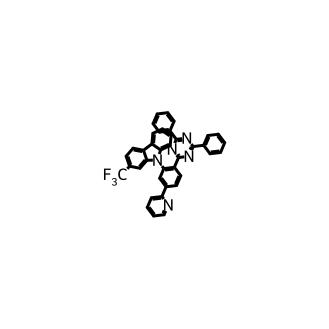 FC(F)(F)c1ccc2c3ccccc3n(-c3cc(-c4ccccn4)ccc3-c3nc(-c4ccccc4)nc(-c4ccccc4)n3)c2c1